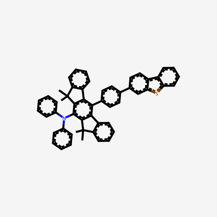 CC1(C)c2ccccc2-c2c(-c3ccc(-c4ccc5c(c4)sc4ccccc45)cc3)c3c(c(N(c4ccccc4)c4ccccc4)c21)C(C)(C)c1ccccc1-3